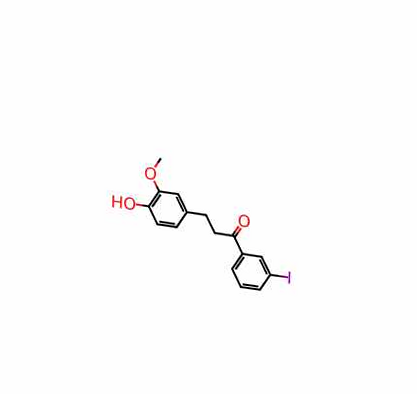 COc1cc(CCC(=O)c2cccc(I)c2)ccc1O